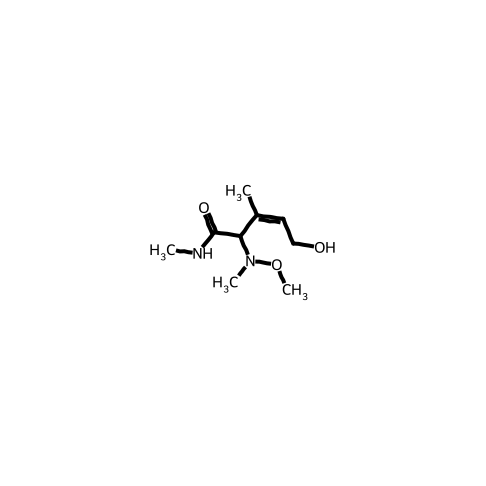 CNC(=O)C(/C(C)=C\CO)N(C)OC